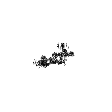 COc1cc2c(cc1OCCCOc1cc3c(cc1OC)C(=O)N1C=C(c4ccc5c(c4)OCO5)C[C@H]1C(=O)N3COCC[Si](C)(C)C)N(COCC[Si](C)(C)C)C(=O)[C@@H]1CC(C#CCNC(=O)[C@H](C)NC(=O)[C@H](C(C)C)N(CC3c4ccccc4-c4ccccc43)C(=O)O)=CN1C2=O